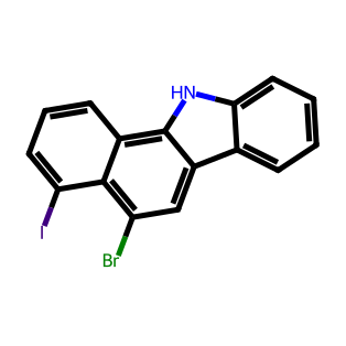 Brc1cc2c3ccccc3[nH]c2c2cccc(I)c12